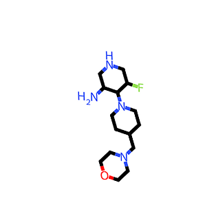 NC1CNCC(F)C1N1CCC(CN2CCOCC2)CC1